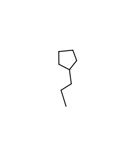 CCC[C]1CCCC1